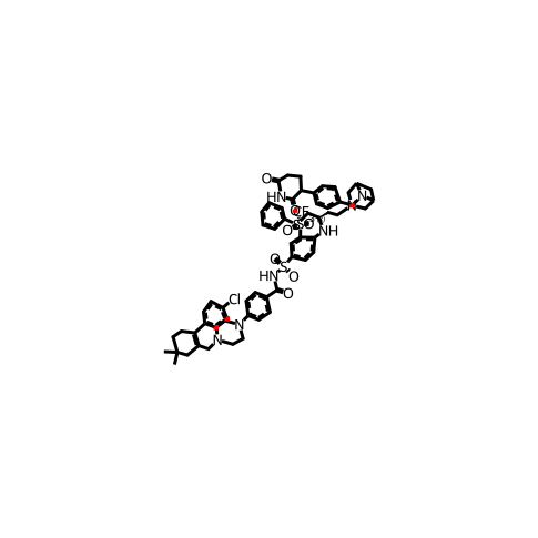 CC1(C)CCC(c2ccc(Cl)cc2)=C(CN2CCN(c3ccc(C(=O)NS(=O)(=O)c4ccc(N[C@H](CCN5CC6CC(C5)N6Cc5ccc(C6CCC(=O)NC6=O)cc5)CSc5ccccc5)c(S(=O)(=O)C(F)(F)F)c4)cc3)CC2)C1